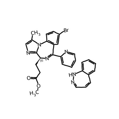 C1=Cc2ccccc2NN=C1.COC(=O)CC[C@@H]1N=C(c2ccccn2)c2cc(Br)ccc2-n2c(C)cnc21